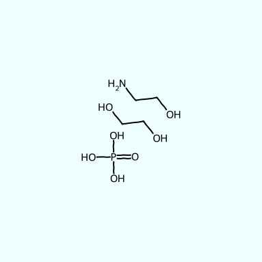 NCCO.O=P(O)(O)O.OCCO